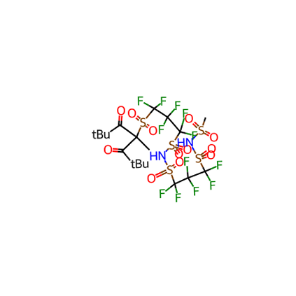 CC(C)(C)C(=O)C(C)(C(=O)C(C)(C)C)S(=O)(=O)C(F)(F)C(F)(F)C(F)(F)S(=O)(=O)NS(=O)(=O)C(F)(F)C(F)(F)C(F)(F)S(=O)(=O)NS(C)(=O)=O